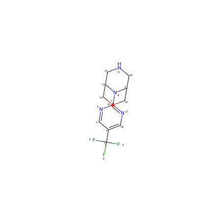 FC(F)(F)c1cnc(N2C3CNCC2COC3)nc1